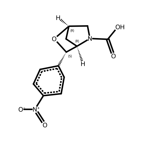 O=C(O)N1C[C@H]2C[C@@H]1[C@H](c1ccc([N+](=O)[O-])cc1)O2